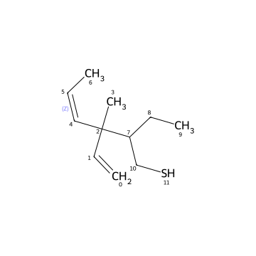 C=CC(C)(/C=C\C)C(CC)CS